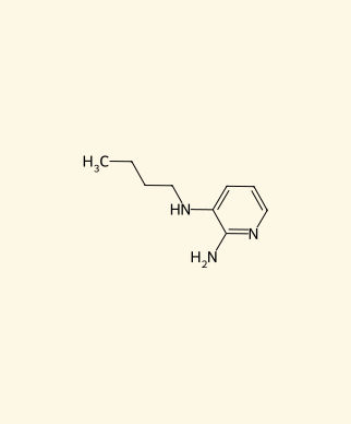 CCCCNc1cccnc1N